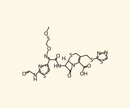 COSCO/N=C(\C(=O)NC1C(=O)N2C(C(=O)O)=C(CSc3nncs3)CS[C@H]12)c1csc(NC=O)n1